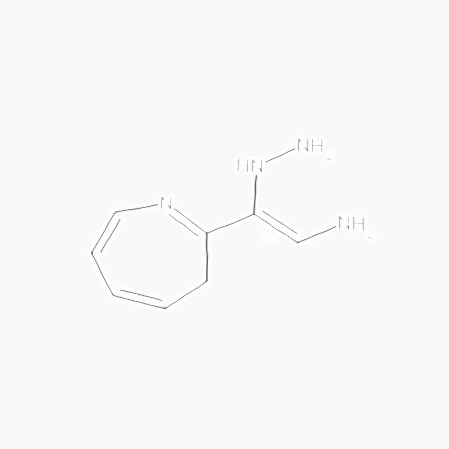 N/C=C(\NN)C1=NC=CC=CC1